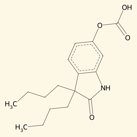 CCCCC1(CCCC)C(=O)Nc2cc(OC(=O)O)ccc21